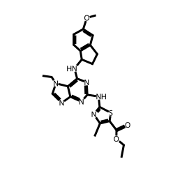 CCOC(=O)c1sc(Nc2nc(NC3CCc4cc(OC)ccc43)c3c(ncn3CC)n2)nc1C